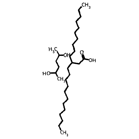 CC(O)CCC(C)O.CCCCCCCCCCCCC(CCCCCCCCCC)CC(=O)O